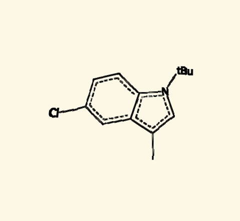 Cc1cn(C(C)(C)C)c2ccc(Cl)cc12